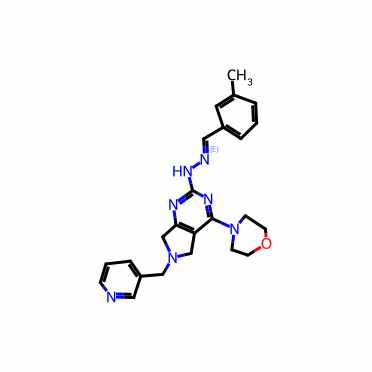 Cc1cccc(/C=N/Nc2nc3c(c(N4CCOCC4)n2)CN(Cc2cccnc2)C3)c1